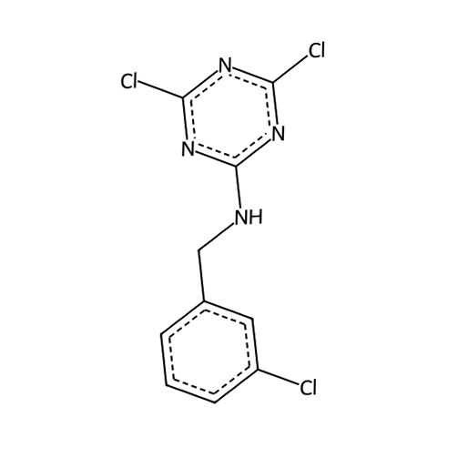 Clc1cccc(CNc2nc(Cl)nc(Cl)n2)c1